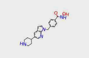 O=C(NO)c1ccc(Cn2ccc3cc(C4CCNCC4)cnc32)cc1